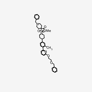 COC(=O)C1(S(=O)(=O)N2CCC(c3ccc(-c4cccc(OCCOCc5ccccc5)n4)c(C)c3)CC2)CCN(Cc2ccccc2)CC1